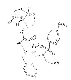 CC(C)CN(C[C@@H](O)[C@H](Cc1ccccc1)NC(=O)O[C@H]1CCO[C@H]2OC[C@H](O)[C@H]21)S(=O)(=O)c1ccc(N)cc1